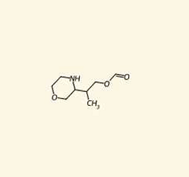 CC(COC=O)C1COCCN1